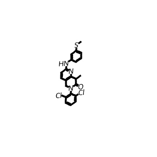 CSc1cccc(Nc2ccc3c(n2)C(C)C(=O)N(c2c(Cl)cccc2Cl)C3)c1